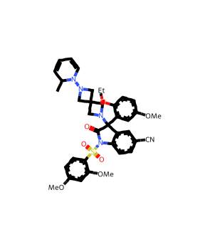 CCOc1ccc(OC)cc1C1(N2CC3(CN(N4C=CC=CC4C)C3)C2)C(=O)N(S(=O)(=O)c2ccc(OC)cc2OC)c2ccc(C#N)cc21